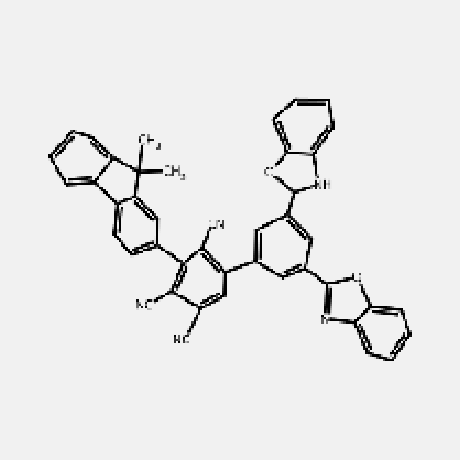 CC1(C)c2ccccc2-c2ccc(-c3c(C#N)c(C#N)cc(-c4cc(-c5nc6ccccc6o5)cc(C5Nc6ccccc6O5)c4)c3C#N)cc21